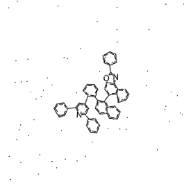 c1ccc(-c2cc(-c3ccccc3-c3ccc4ccccc4c3-c3cc4oc(-c5ccccc5)nc4c4ccccc34)cc(-c3ccccc3)n2)cc1